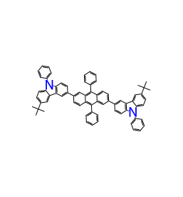 CC(C)(C)c1ccc2c(c1)c1cc(-c3ccc4c(-c5ccccc5)c5cc(-c6ccc7c(c6)c6cc(C(C)(C)C)ccc6n7-c6ccccc6)ccc5c(-c5ccccc5)c4c3)ccc1n2-c1ccccc1